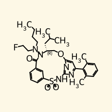 CCCCN(CCF)N1C(=O)c2cccc(c2)S(=O)(=O)Nc2nc(cc(-c3c(C)cccc3C)n2)OC[C@H]1CC(C)C